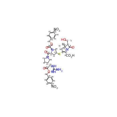 C[C@@H](O)[C@H]1C(=O)N2C(C(=O)O)=C(S[C@H]3C[C@@H](C(=O)N4CC[C@@H](C(NC(=N)N)C(=O)OCc5ccc([N+](=O)[O-])cc5)C4)N(C(=O)OCc4ccc([N+](=O)[O-])cc4)C3)[C@H](C)[C@H]12